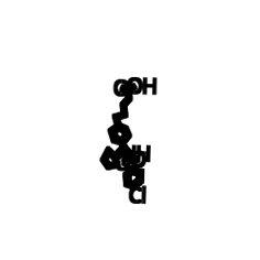 O=C(O)CCCCc1ccc(C(NS(=O)(=O)c2ccc(Cl)cc2)C2CCCC2)cc1